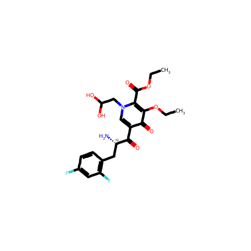 CCOC(=O)c1c(OCC)c(=O)c(C(=O)[C@@H](N)Cc2ccc(F)cc2F)cn1CC(O)O